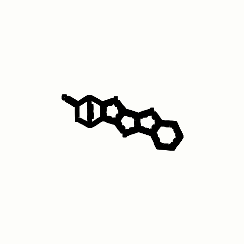 O=C1SC2C=CC1c1sc3c(sc4c5ccccc5sc34)c12